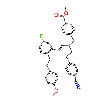 COC(=O)c1ccc(CC(C=Cc2cc(F)ccc2CCc2ccc(OC)cc2)CCc2ccc(C#N)cc2)cc1